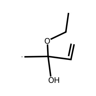 [CH2]C(O)(C=C)OCC